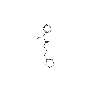 O=C(NCCCN1C[CH]CC1)c1cccs1